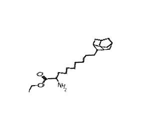 CCOC(=O)C(N)CCCCCCCCC1C2CC3CC(C2)CC1C3